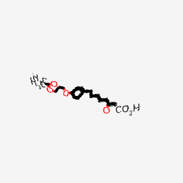 CC1(C)OCC(COc2ccc(CCCCCC(=O)CC(=O)O)cc2)O1